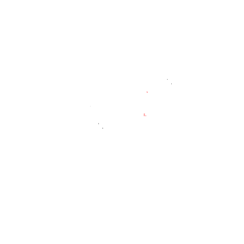 O=C(O)N1CCc2ccccc2C1(c1ccoc1)C1CN2CCC1CC2